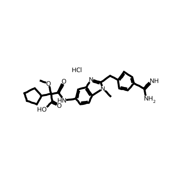 COC(C(=O)O)(C(=O)Nc1ccc2c(c1)nc(Cc1ccc(C(=N)N)cc1)n2C)C1CCCC1.Cl